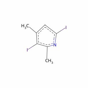 Cc1cc(I)nc(C)c1I